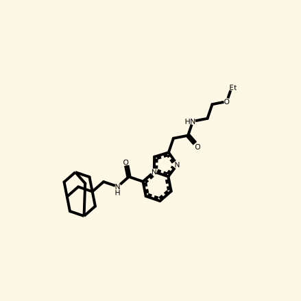 CCOCCNC(=O)Cc1cn2c(C(=O)NCC34CC5CC(CC(C5)C3)C4)cccc2n1